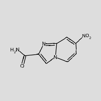 NC(=O)c1cn2ccc([N+](=O)[O-])cc2n1